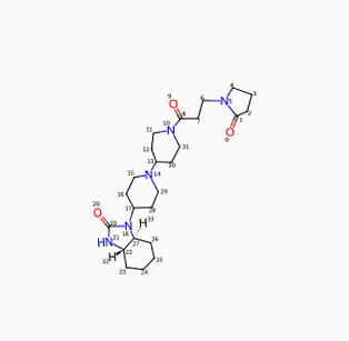 O=C1CCCN1CCC(=O)N1CCC(N2CCC(N3C(=O)N[C@H]4CCCC[C@@H]43)CC2)CC1